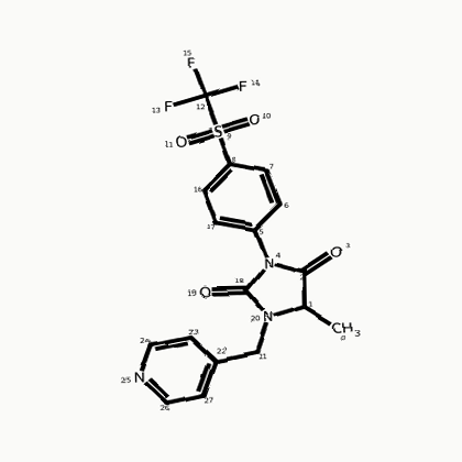 CC1C(=O)N(c2ccc(S(=O)(=O)C(F)(F)F)cc2)C(=O)N1Cc1ccncc1